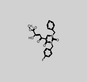 COC(=O)C(O)=CC(=O)c1cn(Cc2ccccc2)c(=O)n(Cc2ccc(F)cc2)c1=O